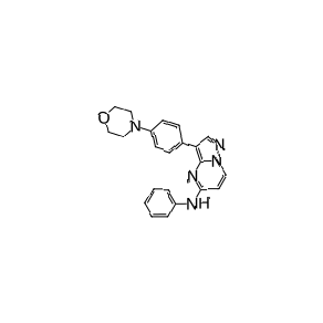 c1ccc(Nc2ccn3ncc(-c4ccc(N5CCOCC5)cc4)c3n2)cc1